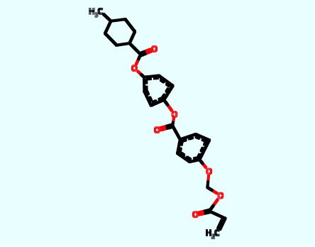 C=CC(=O)OCOc1ccc(C(=O)Oc2ccc(OC(=O)C3CCC(C)CC3)cc2)cc1